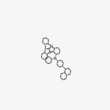 c1ccc(N(c2ccc(-c3cccc4ccccc34)cc2)c2cccc3c2n2c4ccccc4c4c5ccccc5n3c42)cc1